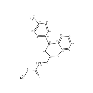 N#CCC(=O)NCC1Cc2ccccc2N(c2ccc(C(F)(F)F)cc2)C1